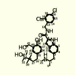 C[C@H](Cc1ccc2[nH]c(C(=O)NCc3ccc(Cl)cc3Cl)cc2c1)NC[C@H](CC(C)(C)[Si](C)(C)O)c1ccc(O)c(CO)c1